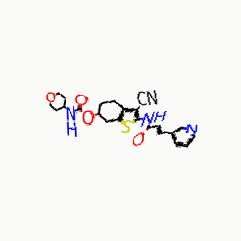 N#Cc1c(NC(=O)/C=C/c2cccnc2)sc2c1CCC(OC(=O)NC1CCOCC1)C2